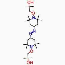 CC(C)(O)CON1C(C)(C)CC(N=NC2CC(C)(C)N(OCC(C)(C)O)C(C)(C)C2)CC1(C)C